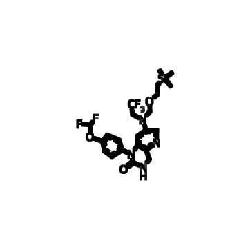 C[Si](C)(C)CCOCN(CC(F)(F)F)c1cnc2c(c1)N(c1ccc(OC(F)F)cc1)C(=O)NC2